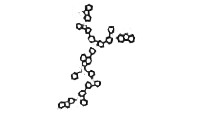 CC1(C)c2ccccc2-c2ccc(-n3c4ccccc4c4cc(-c5ccc6c(c5)c5ccccc5n6-c5cccc(-c6nc(-c7ccccc7)nc7c6-c6ccc(-c8ccc(-n9c%10ccc(-c%11ccc%12c(c%11)c%11ccccc%11n%12-c%11ccc%12c(c%11)C(C)(C)c%11ccccc%11-%12)cc%10c%10cc(-c%11ccc%12c(c%11)c%11ccccc%11n%12-c%11ccc%12c(c%11)C(C)(C)c%11ccccc%11-%12)ccc%109)cc8)c8cccc-7c68)c5)ccc43)cc21